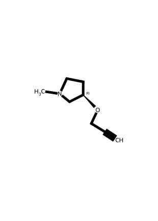 C#CCO[C@@H]1CCN(C)C1